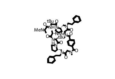 CN[C@@H](C)C(=O)N[C@H](C(=O)N1CCC[C@H]1CN(CCc1ccccc1)C(=O)CN(C)C(=O)c1ccc(C(=O)N(C)CC(=O)N(CCc2ccccc2)C[C@@H]2CCCN2C(=O)[C@@H](NC(=O)[C@H](C)NC)C(C)(C)C)cc1)C(C)(C)C